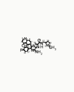 Cc1ccnc2ccc(-c3c(-c4ccc(F)cc4)nc(N)c4nc(C(=O)NCC5CCN(C)C5)cn34)cc12